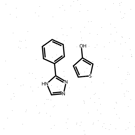 Oc1ccsc1.c1ccc(-c2nnc[nH]2)cc1